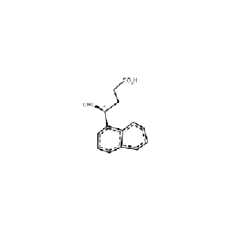 O=C[C@@H](CCC(=O)O)c1cccc2ccccc12